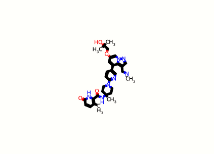 C=NCc1cnn2cc(OCC(C)(C)O)cc(-c3ccc(N4CCC(C)(NC(=O)c5[nH]c(=O)ccc5C)CC4)nc3)c12